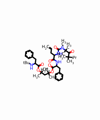 C=CCC(NC(=O)N(C)C(C)(C)C(=O)C(C)(C)C(C)C)C(=O)NC(Cc1ccccc1)C(=O)OC(C)(C)CC(C)(C)OC(=O)C(Cc1ccccc1)NC(C)(C)C